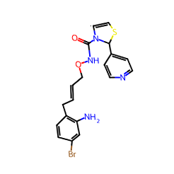 Nc1cc(Br)ccc1CC=CCONC(=O)N1[C]=CSC1c1ccncc1